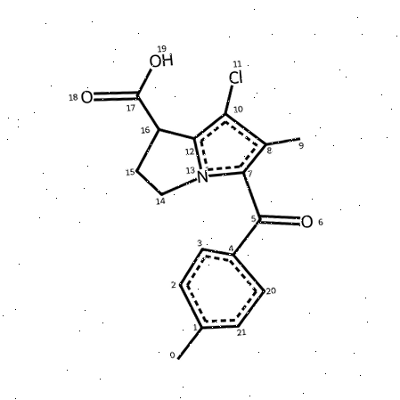 Cc1ccc(C(=O)c2c(C)c(Cl)c3n2CCC3C(=O)O)cc1